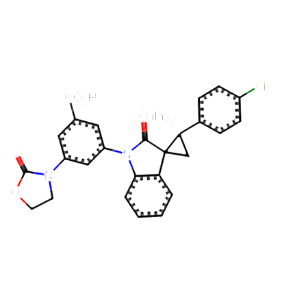 CC(C)[C@]1(c2ccc(Cl)cc2)CC12C(=O)N(c1cc(C(=O)O)cc(N3CCOC3=O)c1)c1ccccc12